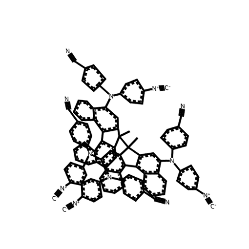 [C-]#[N+]c1ccc(N(c2ccc(C#N)cc2)c2cc3c(c4ccccc24)-c2c(cc(N(c4ccc(C#N)cc4)c4ccc([N+]#[C-])cc4)c4ccccc24)C3(C)C2(C)c3cc(N(c4ccc(C#N)cc4)c4ccc([N+]#[C-])cc4)c4ccccc4c3-c3c2cc(N(c2ccc(C#N)cc2)c2ccc([N+]#[C-])cc2)c2ccccc32)cc1